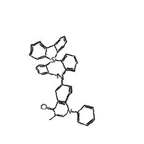 Cc1cn(-c2ccccc2)c2ccc(N3c4ccccc4[Si]4(c5ccccc5-c5ccccc54)c4ccccc43)cc2c1=O